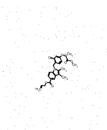 C=CCOC(=O)c1ccc2c(c1)c(C)c(C)n2Cc1ccc(O[C@H](C)C(=O)OC)cc1Cl